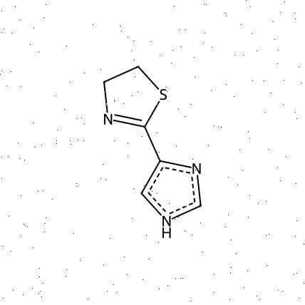 c1nc(C2=NCCS2)c[nH]1